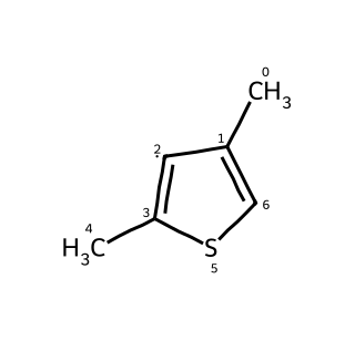 Cc1[c]c(C)sc1